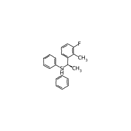 Cc1c(F)cccc1[C@@H](C)[SiH](c1ccccc1)c1ccccc1